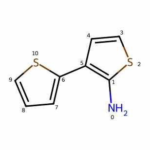 Nc1sccc1-c1cccs1